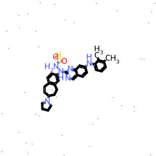 Cc1cccc(Nc2ccc3cnc(Nc4ccc5c(c4)CCC(N4CCCC4)CC5)nc3c2)c1C.N[SH](=O)=O